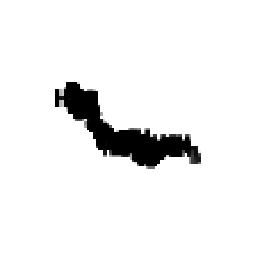 C[C@H]1CN([C@@H]2CCN(c3ccc4c(c3)C(=O)N(C3CCC(=O)NC3=O)C4=O)C2)CCN1c1ccc(Nc2cc(-c3ccnc(N4CCn5c(cc6c5CC(C)(C)C6)C4=O)c3CO)cn(C)c2=O)nc1